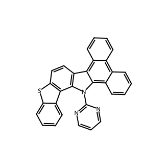 c1cnc(-n2c3c(ccc4sc5ccccc5c43)c3c4ccccc4c4ccccc4c32)nc1